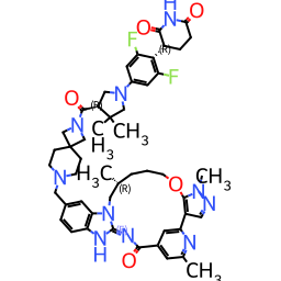 Cc1cc2cc(n1)-c1cnn(C)c1OCCC[C@@H](C)CN1/C(=N/C2=O)Nc2ccc(CN3CCC4(CC3)CN(C(=O)[C@H]3CN(c5cc(F)c([C@H]6CCC(=O)NC6=O)c(F)c5)CC3(C)C)C4)cc21